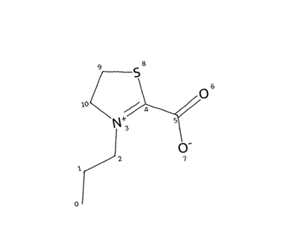 CCC[N+]1=C(C(=O)[O-])SCC1